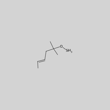 CC=CCC(C)(C)O[SiH3]